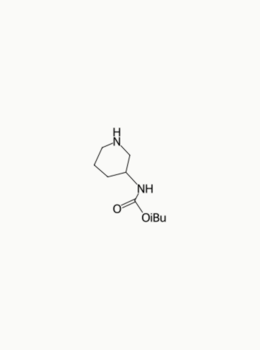 CC(C)COC(=O)NC1CCCNC1